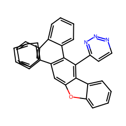 c1ccc(-c2ccccc2-c2c(-c3ccccc3)cc3oc4ccccc4c3c2-c2ccnnn2)cc1